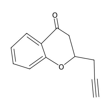 C#CCC1CC(=O)c2ccccc2O1